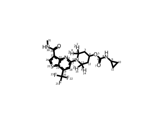 [2H]C1([2H])CC(OC(=O)NC2CC2)CC([2H])([2H])N1c1cc(C(F)(F)F)c2scc(C(=O)NC)c2n1